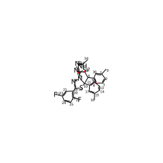 Cc1cccc(C(CCN)C2(c3cccc(C)c3)SC(c3cc(F)ccc3F)=NN2c2nnc(C)s2)c1